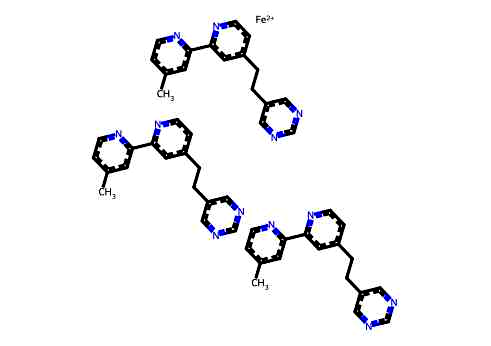 Cc1ccnc(-c2cc(CCc3cncnc3)ccn2)c1.Cc1ccnc(-c2cc(CCc3cncnc3)ccn2)c1.Cc1ccnc(-c2cc(CCc3cncnc3)ccn2)c1.[Fe+2]